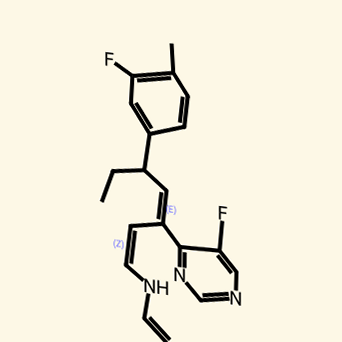 C=CN/C=C\C(=C/C(CC)c1ccc(C)c(F)c1)c1ncncc1F